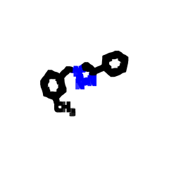 Cc1cccc(Cn2cc(-c3ccccc3)nn2)c1